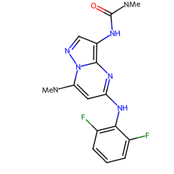 CNC(=O)Nc1cnn2c(NC)cc(Nc3c(F)cccc3F)nc12